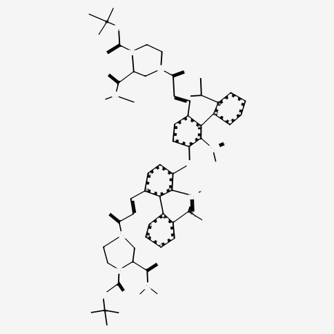 CC(C)c1ccccc1-c1c(/C=C/C(=O)N2CCN(C(=O)OC(C)(C)C)C(C(=O)N(C)C)C2)ccc(Sc2ccc(/C=C/C(=O)N3CCN(C(=O)OC(C)(C)C)C(C(=O)N(C)C)C3)c(-c3ccccc3C(C)C)c2[N+](=O)[O-])c1[N+](=O)[O-]